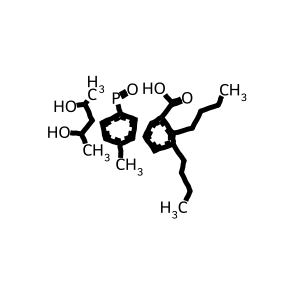 CC(O)CC(C)O.CCCCc1cccc(C(=O)O)c1CCCC.Cc1ccc(P=O)cc1